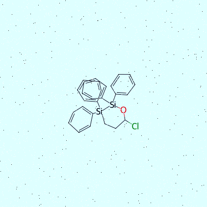 ClC1CC[Si](c2ccccc2)(c2ccccc2)[Si](c2ccccc2)(c2ccccc2)O1